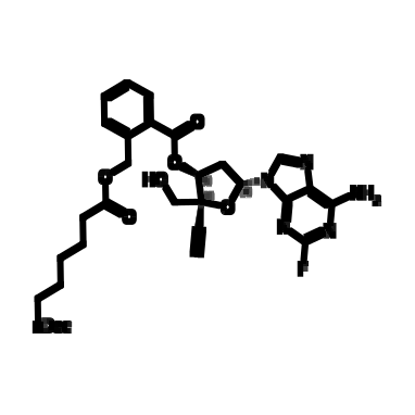 C#C[C@]1(CO)O[C@@H](n2cnc3c(N)nc(F)nc32)C[C@@H]1OC(=O)c1ccccc1COC(=O)CCCCCCCCCCCCCCC